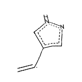 C=[C]c1cn[nH]c1